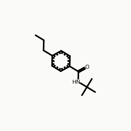 CCCc1ccc(C(=O)NC(C)(C)C)cc1